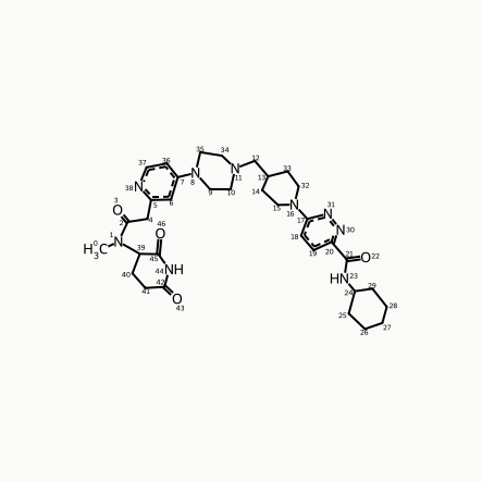 CN(C(=O)Cc1cc(N2CCN(CC3CCN(c4ccc(C(=O)NC5CCCCC5)nn4)CC3)CC2)ccn1)C1CCC(=O)NC1=O